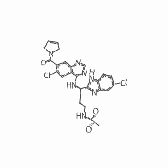 CS(=O)(=O)NCCC(Nc1ncnc2cc(C(=O)N3CC=CC3)c(Cl)cc12)c1nc2cc(Cl)ccc2[nH]1